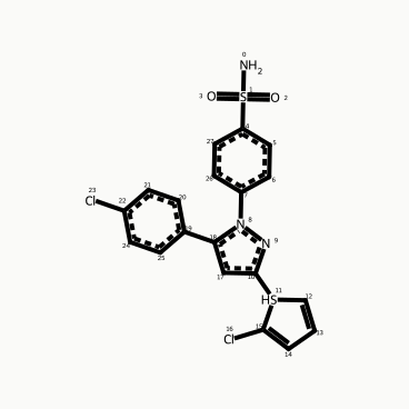 NS(=O)(=O)c1ccc(-n2nc([SH]3C=CC=C3Cl)cc2-c2ccc(Cl)cc2)cc1